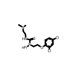 CCCN(CCOc1ccc(Cl)cc1Cl)C(=S)NCCN(C)C